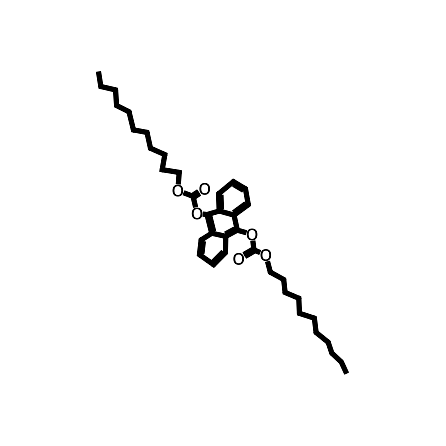 CCCCCCCCCCCOC(=O)Oc1c2ccccc2c(OC(=O)OCCCCCCCCCCC)c2ccccc12